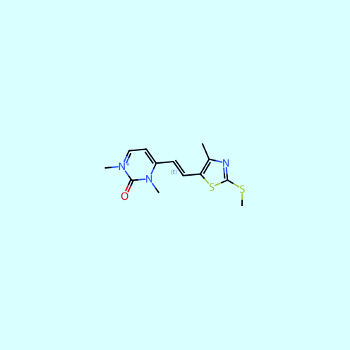 CSc1nc(C)c(/C=C/c2cc[n+](C)c(=O)n2C)s1